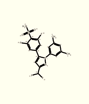 Cc1cc(C)cc(-n2nc(C(F)F)cc2-c2cc(F)c(S(N)(=O)=O)c(F)c2)c1